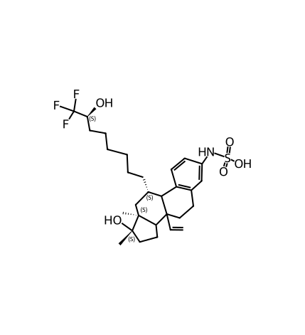 C=CC12CCc3cc(NS(=O)(=O)O)ccc3C1[C@@H](CCCCCC[C@H](O)C(F)(F)F)C[C@@]1(C)C2CC[C@]1(C)O